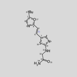 CC(C)(C)c1cnc(/C=C/c2cnc(NCC(N)=O)s2)o1